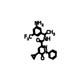 CC(NC(=O)c1cc(C2CC2)c(=O)n(-c2ccccc2)n1)c1cc(N)cc(C(F)(F)F)c1